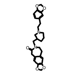 O=C1Cc2cc3c(cc2CCN1CC1CCCN(CCc2ccc4c(c2)OCO4)C1)OCO3